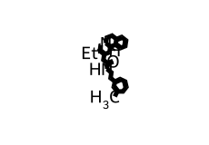 CCC1=C(CC(=O)NCCC2=CC=CCC(C)=C2)C[C@H]2c3ccccc3CCN2C1